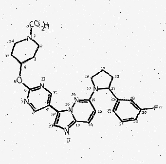 O=C(O)N1CCC(Oc2ncc(-c3cnc4ccc(N5CCCC5c5cccc(F)c5)nn34)cn2)CC1